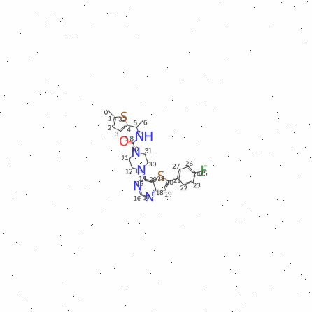 Cc1ccc(C(C)NC(=O)N2CCN(c3ncnc4cc(-c5ccc(F)cc5)sc34)CC2)s1